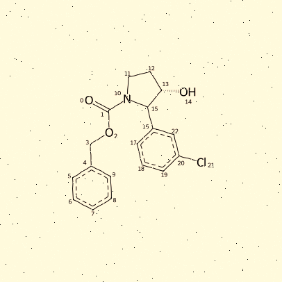 O=C(OCc1ccccc1)N1CC[C@H](O)C1c1cccc(Cl)c1